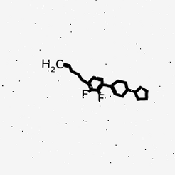 C=CCCCc1ccc(C2=CCC(C3CCCC3)CC2)c(F)c1F